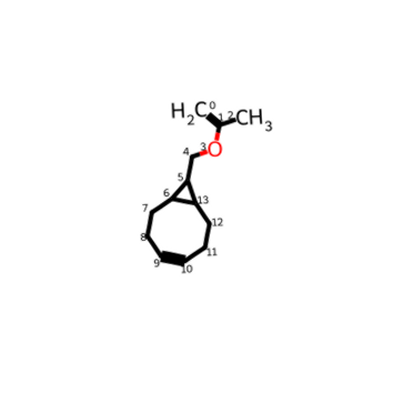 C=C(C)OCC1C2CCC#CCCC21